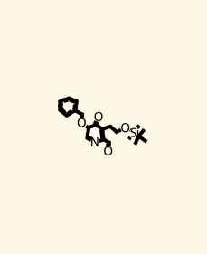 CC(C)(C)[Si](C)(C)OCCC1=C(C=O)N=CC(OCc2ccccc2)C1=O